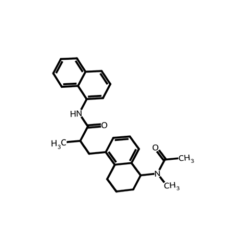 CC(=O)N(C)C1CCCc2c(CC(C)C(=O)Nc3cccc4ccccc34)cccc21